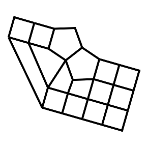 C1C2C3CC4C5C6CC7C8CC9C%10C%11C%12C1C21C3C42C3C54C76C89C%104C%113C%1212